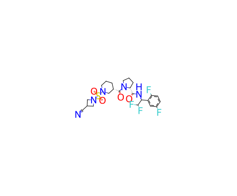 N#CC1CN(S(=O)(=O)N2CCC[C@H](C(=O)N3CCC[C@@H]3C(=O)N[C@@H](c3cc(F)ccc3F)C(F)F)C2)C1